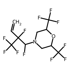 C=CC(F)(C(F)N1CC(C(F)(F)F)OC(C(F)(F)F)C1)C(F)(F)F